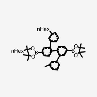 CCCCCCc1cccc(-c2cc(B3OC(C)(C)C(C)(CCCCCC)O3)ccc2-c2ccc(B3OC(C)(C)C(C)(C)O3)cc2-c2cccc(C)c2)c1